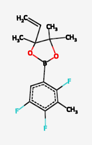 C=CC1(C)OB(c2cc(F)c(F)c(C)c2F)OC1(C)C